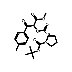 COC(=O)C(OC(=O)[C@@H]1CCCN1C(=O)OC(C)(C)C)C(=O)c1ccc(C)cc1